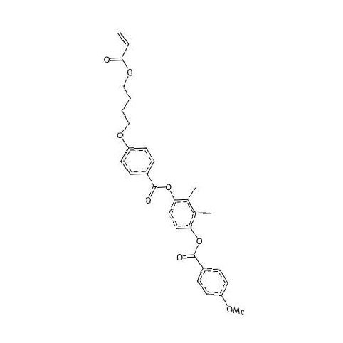 C=CC(=O)OCCCCOc1ccc(C(=O)Oc2ccc(OC(=O)c3ccc(OC)cc3)c(C)c2C)cc1